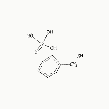 Cc1ccccc1.O=P(O)(O)O.[KH]